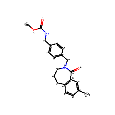 CC(C)(C)OC(=O)NCc1ccc(CN2CCCc3ccc([N+](=O)[O-])cc3C2=O)cc1